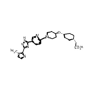 Cn1ccnc1-c1n[nH]c(-c2ccc(N3CCC(O[C@H]4CC[C@@H](CC(=O)O)CC4)CC3)nc2)n1